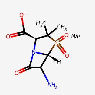 CC1(C)[C@H](C(=O)[O-])N2C(=O)C(N)[C@H]2S1(=O)=O.[Na+]